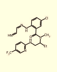 CCC(CNc1ccc(C(F)(F)F)cn1)N(C)C(=O)c1cc(Cl)ccc1N/N=C\C=N